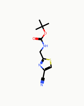 CC(C)(C)OC(=O)NCc1nc(C#N)cs1